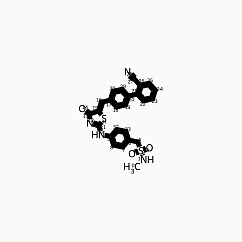 CNS(=O)(=O)Cc1ccc(NC2=NC(=O)/C(=C/c3ccc(-c4ccccc4C#N)cc3)S2)cc1